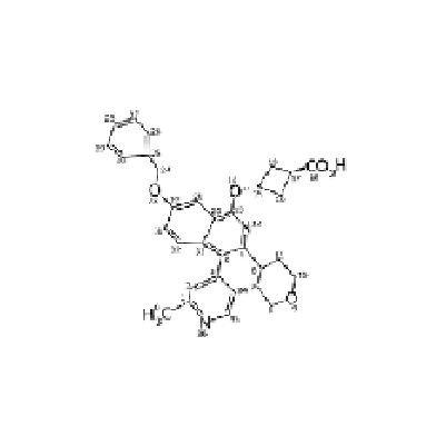 Cc1cc(-c2c(C3CCOCC3)nc(O[C@H]3C[C@H](C(=O)O)C3)c3cc(OCc4ccccc4)ccc23)ccn1